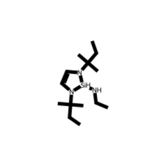 CCN[SiH]1N(C(C)(C)CC)C=CN1C(C)(C)CC